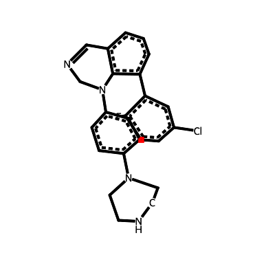 Fc1ccc(Cl)cc1-c1cccc2c1N(c1ccc(N3CCNCC3)cc1)CN=C2